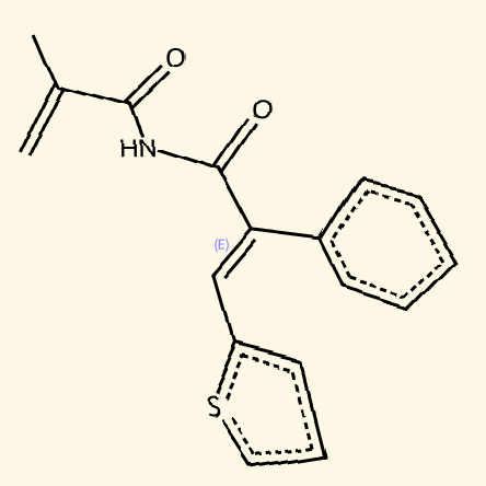 C=C(C)C(=O)NC(=O)/C(=C/c1cccs1)c1ccccc1